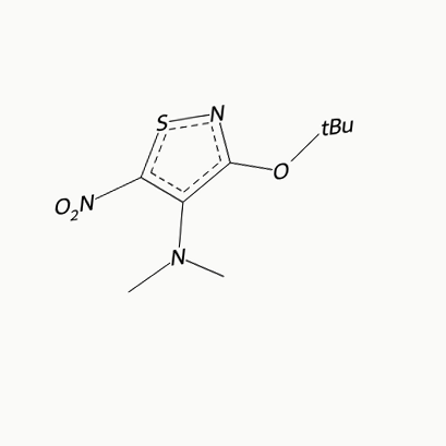 CN(C)c1c(OC(C)(C)C)nsc1[N+](=O)[O-]